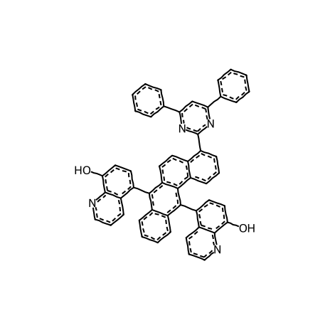 Oc1ccc(-c2c3ccccc3c(-c3ccc(O)c4ncccc34)c3c2ccc2c(-c4nc(-c5ccccc5)cc(-c5ccccc5)n4)cccc23)c2cccnc12